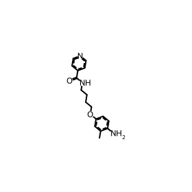 Cc1cc(OCCCCNC(=O)c2ccncc2)ccc1N